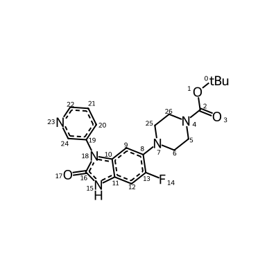 CC(C)(C)OC(=O)N1CCN(c2cc3c(cc2F)[nH]c(=O)n3-c2cccnc2)CC1